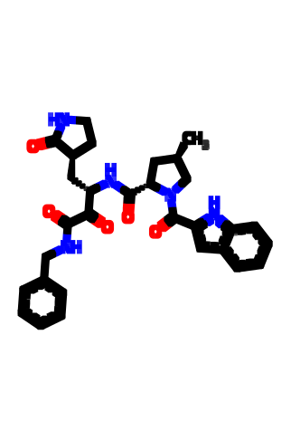 C[C@@H]1C[C@@H](C(=O)N[C@@H](C[C@@H]2CCNC2=O)C(=O)C(=O)NCc2ccccc2)N(C(=O)c2cc3ccccc3[nH]2)C1